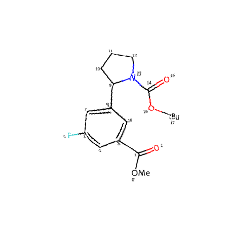 COC(=O)c1cc(F)cc(C2CCCN2C(=O)OC(C)(C)C)c1